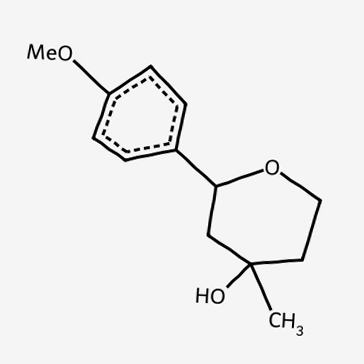 COc1ccc(C2CC(C)(O)CCO2)cc1